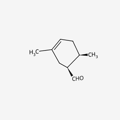 CC1=CC[C@@H](C)[C@@H](C=O)C1